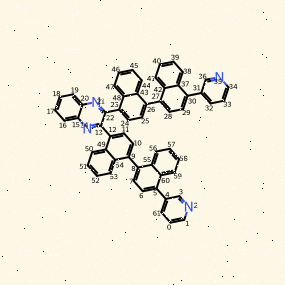 c1cncc(-c2ccc(-c3ccc(-c4nc5ccccc5nc4-c4ccc(-c5ccc(-c6cccnc6)c6ccccc56)c5ccccc45)c4ccccc34)c3ccccc23)c1